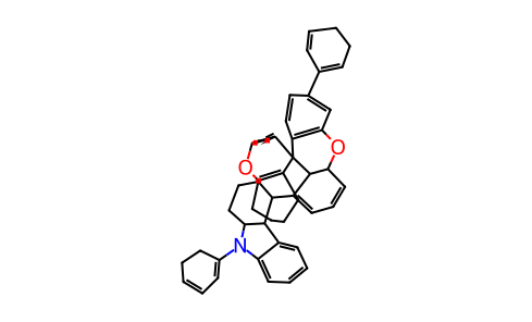 C1=CCCC(N2c3ccccc3C3C(C4=CC=CC5Oc6cc(C7=CCCC=C7)ccc6C6(C7=CC=CCC7OC7=C6CCCC7)C45)CCCC32)=C1